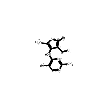 Cc1ncc(Br)c(Nc2c(C)sc(Br)c2CO)n1